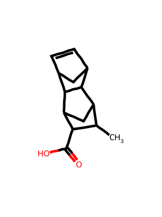 CC1C2CC(C1C(=O)O)C1C3C=CC(C3)C21